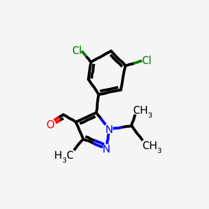 Cc1nn(C(C)C)c(-c2cc(Cl)cc(Cl)c2)c1C=O